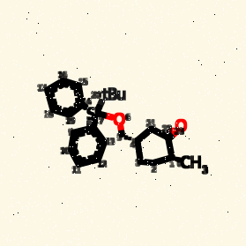 C[C@H]1CC[C@H](CO[Si](c2ccccc2)(c2ccccc2)C(C)(C)C)CC1=O